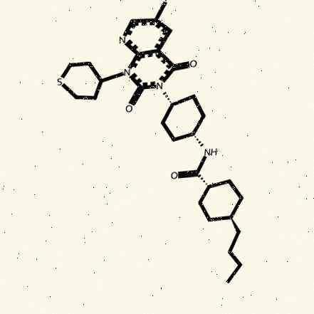 CCCC[C@H]1CC[C@H](C(=O)N[C@H]2CC[C@@H](n3c(=O)c4cc(F)cnc4n(C4CCSCC4)c3=O)CC2)CC1